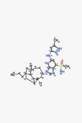 Cc1cc(Nc2cc(S(C)(=N)=O)c3ncn([C@H]4CC[C@H]5CC6(CCC#N)CC7C(C56)[C@H]7C4)c3n2)n[nH]1